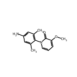 COc1cccn(-c2c(C)cc(N)cc2C)c1=O